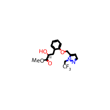 COC(=O)[C@@H](O)Cc1ccccc1OCc1ccnn1CC(F)(F)F